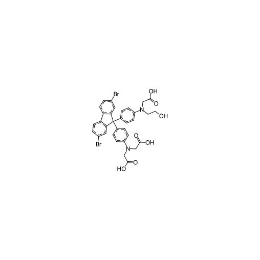 O=C(O)CN(CCO)c1ccc(C2(c3ccc(N(CC(=O)O)CC(=O)O)cc3)c3cc(Br)ccc3-c3ccc(Br)cc32)cc1